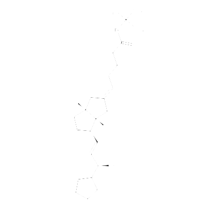 CC(C)(C)NC(=O)CCC/C=C1\C[C@H]2C[C@@H](O)[C@H](/C=C/[C@@H](O)C3CCCC3)[C@H]2C1